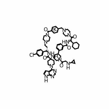 NC1(C(=O)N[C@@H](CCN2CCN(C(=O)C34CCC(CN5CCN(C(=O)[C@H](NC(=O)c6cccc(C7CCCN(C(=O)CNC8CC8)C7)c6)C6CCCCC6)CC5)(CC3)OC4)CC2)c2ccc(Cl)cc2)CCN(c2ncnc3[nH]ccc23)CC1